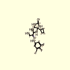 N=C/C(=N\Nc1cc(F)c(F)c(F)c1)C(=O)NC1(C2CCC2)NC(=O)NC1O